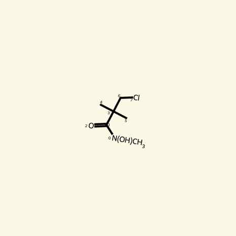 CN(O)C(=O)C(C)(C)CCl